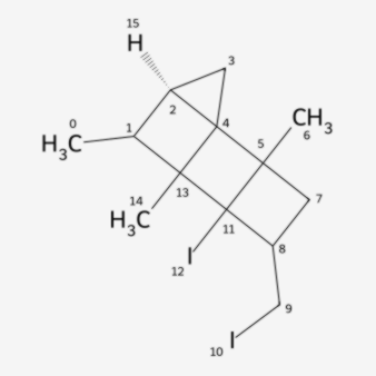 CC1[C@H]2CC23C2(C)CC(CI)C2(I)C13C